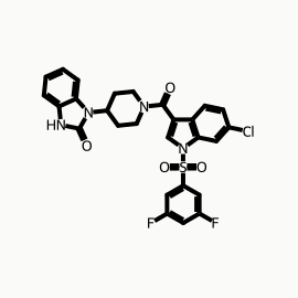 O=C(c1cn(S(=O)(=O)c2cc(F)cc(F)c2)c2cc(Cl)ccc12)N1CCC(n2c(=O)[nH]c3ccccc32)CC1